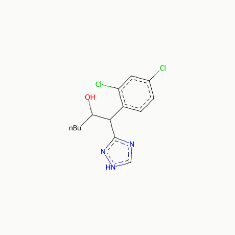 CCCCC(O)C(c1nc[nH]n1)c1ccc(Cl)cc1Cl